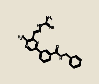 N=C(N)NN=Cc1nc(-c2cccc(C(=O)NCc3ccccc3)c2)cnc1N